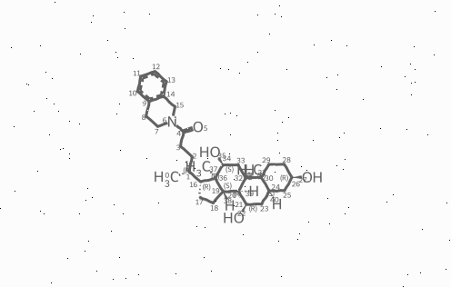 C[C@H](CCC(=O)N1CCc2ccccc2C1)[C@H]1CC[C@H]2[C@@H]3[C@H](O)C[C@@H]4C[C@H](O)CC[C@]4(C)[C@H]3C[C@H](O)[C@]12C